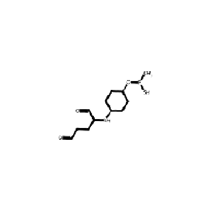 CP(S)O[C@H]1CC[C@@H](NC(C=O)CCC=O)CC1